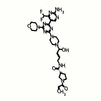 C=CC(=O)N1CC[C@@H](C(=O)NCC=CC(O)N2CCN(c3nc(-c4cnc(N)nc4C(F)F)nc(N4CCOCC4)n3)CC2)C1